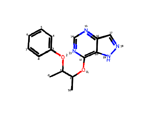 CC(Oc1ccccc1)C(C)Oc1ncnc2cn[nH]c12